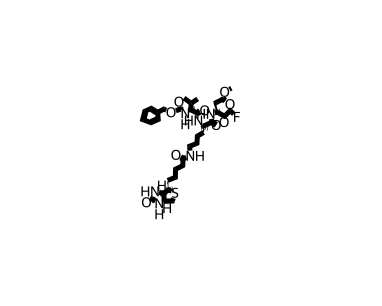 COC(=O)C[C@H](NC(=O)[C@H](CCCCNC(=O)CCCC[C@@H]1SC[C@@H]2NC(=O)N[C@@H]21)NC(=O)[C@@H](NC(=O)OCc1ccccc1)C(C)C)C(=O)CF